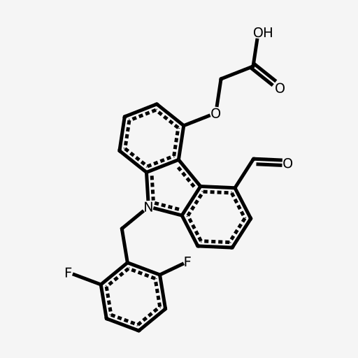 O=Cc1cccc2c1c1c(OCC(=O)O)cccc1n2Cc1c(F)cccc1F